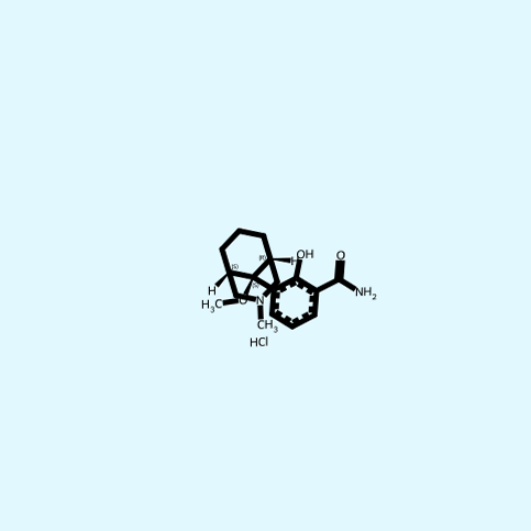 CO[C@]1(c2cccc(C(N)=O)c2O)[C@@H]2CCC[C@H]1CN(C)C2.Cl